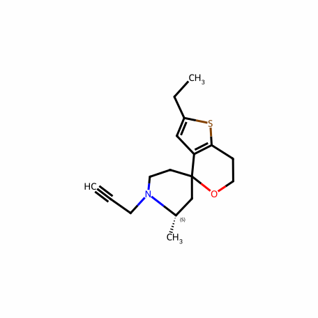 C#CCN1CCC2(C[C@@H]1C)OCCc1sc(CC)cc12